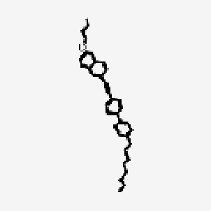 CCCCCCCCc1ccc(-c2ccc(C#Cc3ccc4cc(OCCCC)ccc4c3)cc2)cc1